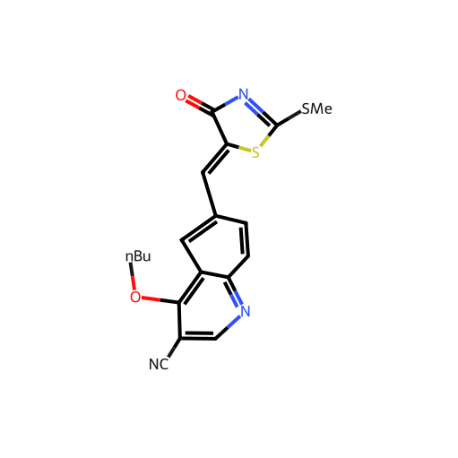 CCCCOc1c(C#N)cnc2ccc(/C=C3\SC(SC)=NC3=O)cc12